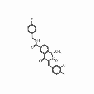 CN1c2ccc(C(=O)NCc3ccc(F)cc3)cc2C(=O)/C(=C/c2ccc(F)c(Cl)c2)[S+]1[O-]